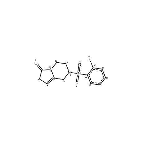 O=C1CC=C2CN(S(=O)(=O)c3ccccc3F)CCN12